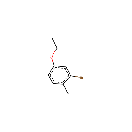 [CH2]c1ccc(OCC)cc1Br